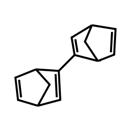 C1=CC2C=C(C3=CC4C=CC3C4)[C]1C2